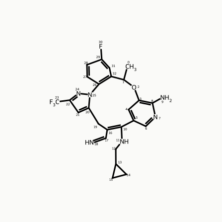 CC1Oc2cc(cnc2N)/C(NCC2CC2)=C(/C=N)Cc2cc(C(F)(F)F)nn2-c2ccc(F)cc21